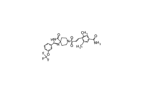 Cc1cc(C(N)=O)cc(C)c1C=CS(=O)(=O)N1CCC2(CC1)N=C(c1cccc(OC(F)(F)F)c1)NC2=O